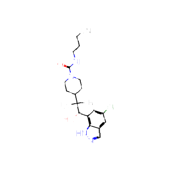 CC(C)(C1CCN(C(=O)NCCCC#N)CC1)[C@H](O)c1cc(Cl)cc2cn[nH]c12